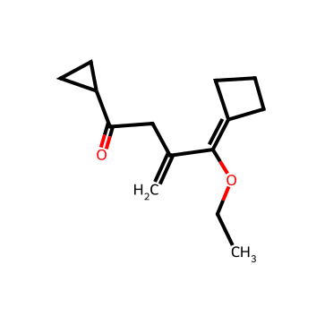 C=C(CC(=O)C1CC1)C(OCC)=C1CCC1